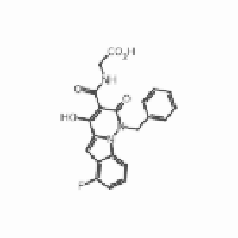 O=C(O)CNC(=O)c1c(O)c2cc3c(F)cccc3n2n(Cc2ccccc2)c1=O